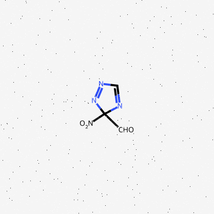 O=CC1([N+](=O)[O-])N=CN=N1